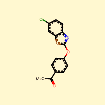 COC(=O)c1ccc(Oc2nc3ccc(Cl)cc3s2)cc1